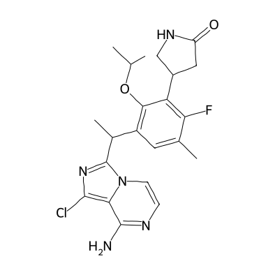 Cc1cc(C(C)c2nc(Cl)c3c(N)nccn23)c(OC(C)C)c(C2CNC(=O)C2)c1F